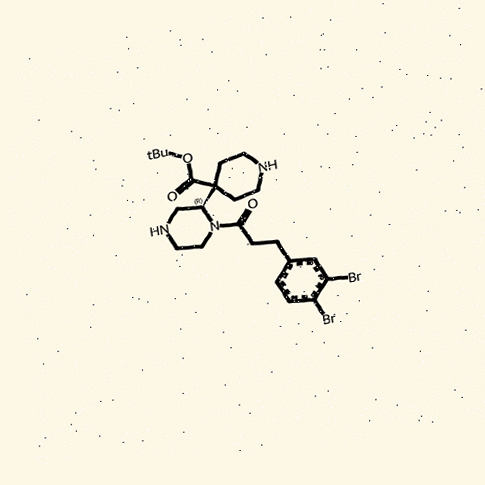 CC(C)(C)OC(=O)C1([C@@H]2CNCCN2C(=O)[CH]Cc2ccc(Br)c(Br)c2)CCNCC1